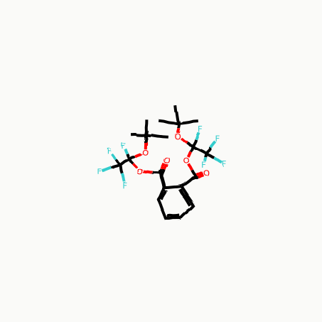 CC(C)(C)OC(F)(OC(=O)c1ccccc1C(=O)OC(F)(OC(C)(C)C)C(F)(F)F)C(F)(F)F